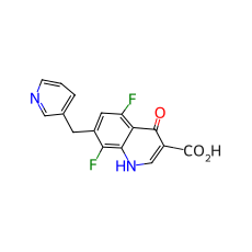 O=C(O)c1c[nH]c2c(F)c(Cc3cccnc3)cc(F)c2c1=O